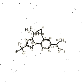 CNc1nc(C(F)(F)F)nn1-c1ccc(C(C)C)cc1C1CC1